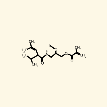 C=C(C)C(=O)OCC(CNC(=O)C(C=C(C)C)C(C)C)OI